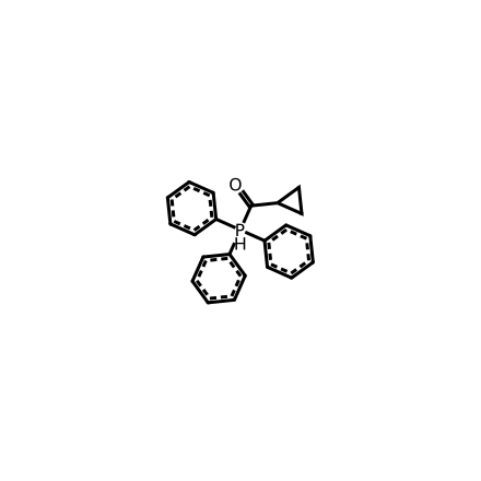 O=C(C1CC1)[PH](c1ccccc1)(c1ccccc1)c1ccccc1